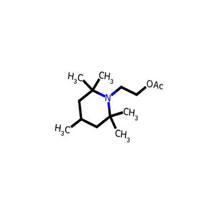 CC(=O)OCCN1C(C)(C)CC(C)CC1(C)C